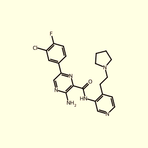 Nc1ncc(-c2ccc(F)c(Cl)c2)nc1C(=O)Nc1cnccc1CCN1CCCC1